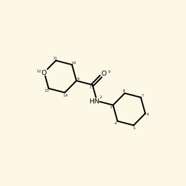 O=C(NC1CCCCC1)C1CCOCC1